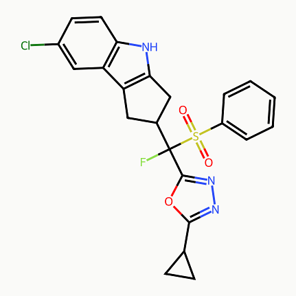 O=S(=O)(c1ccccc1)C(F)(c1nnc(C2CC2)o1)C1Cc2[nH]c3ccc(Cl)cc3c2C1